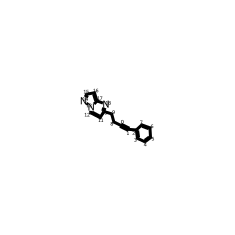 C(#Cc1ccccc1)CCc1ccn2nccc2n1